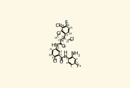 Nc1cc(F)ccc1NC(=O)c1cc(NC(=O)[C@H](CCl)[C@@H](CCl)c2ccc(F)c(Cl)c2)ccc1Cl